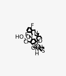 O=C(O)N(Cc1c(F)ccc(F)c1CN1CC2(CCOCC2)C1)c1cc(F)c(S(=O)(=O)Nc2cscn2)cc1Cl